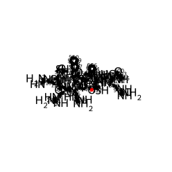 CC(=O)N[C@@H](CS)C(=O)N[C@H](CCCNC(=N)N)C(=O)N[C@@H](CCCNC(=N)N)C(=O)N[C@@H](CCCNC(=N)N)C(=O)N[C@@H](Cc1ccc2ccccc2c1)C(=O)N[C@@H](Cc1c[nH]c2ccccc12)C(=O)N1CCC[C@H]1C(=O)N[C@H](C(=O)N[C@H](C(=O)N[C@@H](CCCNC(=N)N)C(=O)N[C@H](C(=O)O)C(C)(C)C)[C@@H](C)O)C(C)(C)S